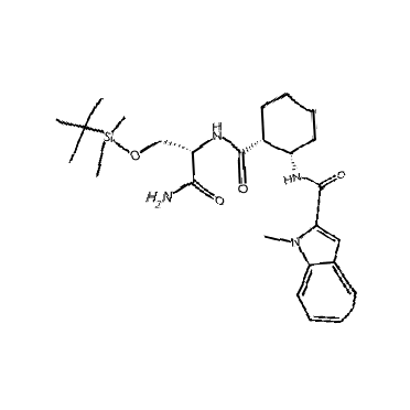 Cn1c(C(=O)N[C@H]2CCCC[C@H]2C(=O)N[C@@H](CO[Si](C)(C)C(C)(C)C)C(N)=O)cc2ccccc21